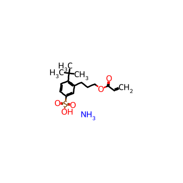 C=CC(=O)OCCCc1cc(S(=O)(=O)O)ccc1C(C)(C)C.N